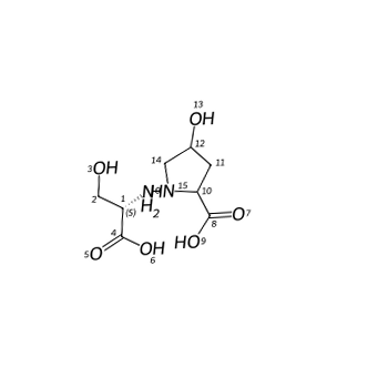 N[C@@H](CO)C(=O)O.O=C(O)C1CC(O)CN1